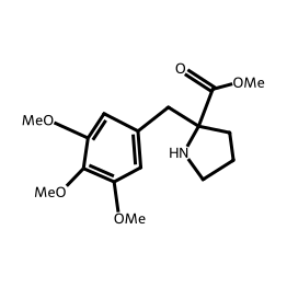 COC(=O)C1(Cc2cc(OC)c(OC)c(OC)c2)CCCN1